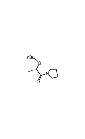 CCCCO[C@@H](C)C(=O)N1CCCC1